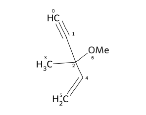 C#CC(C)(C=C)OC